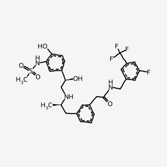 C[C@H](Cc1cccc(CC(=O)NCc2cc(F)cc(C(F)(F)F)c2)c1)NC[C@H](O)c1ccc(O)c(NS(C)(=O)=O)c1